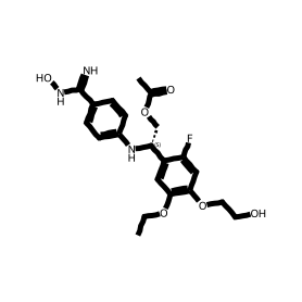 CCOc1cc([C@@H](COC(C)=O)Nc2ccc(C(=N)NO)cc2)c(F)cc1OCCO